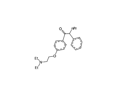 CCCC(C(=O)c1ccc(OCCN(CC)CC)cc1)c1ccccc1